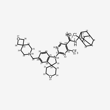 O=C(NC1(C(=O)O)C2CC3CC(C2)CC1C3)c1cnc(N2CC3(CCOCC3)c3cc(CN4CCC5(CC4)COC5)ccc32)nc1C(F)(F)F